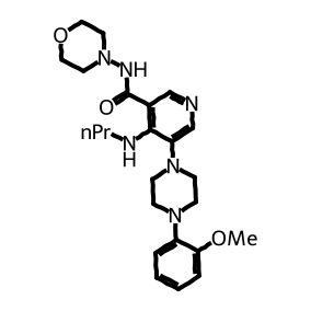 CCCNc1c(C(=O)NN2CCOCC2)cncc1N1CCN(c2ccccc2OC)CC1